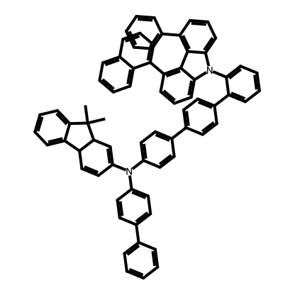 CC1(C)c2ccccc2C2C=CC(N(c3ccc(-c4ccccc4)cc3)c3ccc(-c4ccc(-c5ccccc5-n5c6cccc(-c7ccccc7)c6c6c(-c7cccc8ccccc78)cccc65)cc4)cc3)=CC21